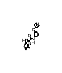 Cc1ccc2[nH]c(C(=O)Nc3cccc(Oc4ccncc4)c3)nc2c1C